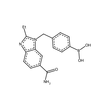 CCc1nc2ccc(C(N)=O)cc2n1Cc1ccc(B(O)O)cc1